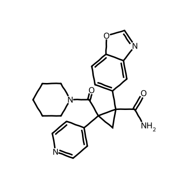 NC(=O)C1(c2ccc3ocnc3c2)CC1(C(=O)N1CCCCC1)c1ccncc1